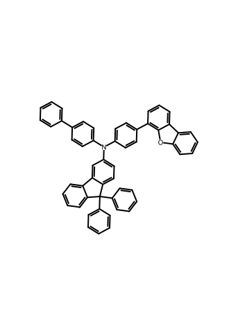 c1ccc(-c2ccc(N(c3ccc(-c4cccc5c4oc4ccccc45)cc3)c3ccc4c(c3)-c3ccccc3C4(c3ccccc3)c3ccccc3)cc2)cc1